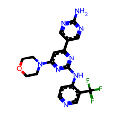 Nc1ncc(-c2cc(N3CCOCC3)nc(Nc3ccncc3C(F)(F)F)n2)cn1